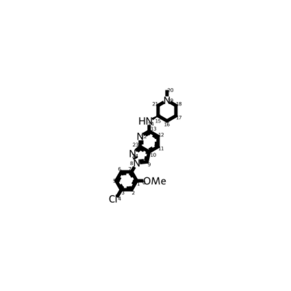 COc1cc(Cl)ccc1-n1cc2ccc(N[C@@H]3CCCN(C)C3)nc2n1